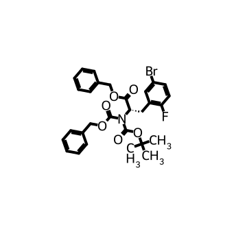 CC(C)(C)OC(=O)N(C(=O)OCc1ccccc1)[C@@H](Cc1cc(Br)ccc1F)C(=O)OCc1ccccc1